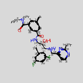 CCCN(CCC)C(=O)c1cc(C)cc(C(=O)N[C@@H](Cc2cc(F)cc(F)c2)[C@H](O)CNCc2ccnc(C(C)C)n2)c1